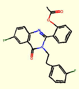 CC(=O)Oc1ccccc1-c1nc2ccc(F)cc2c(=O)n1CCc1cccc(F)c1